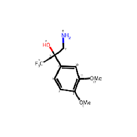 COc1ccc(C(O)(CN)C(F)(F)F)cc1OC